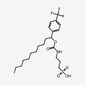 CCCCCCCCCCC(OC(=O)NCCCS(=O)(=O)O)c1ccc(C(F)(F)F)cc1